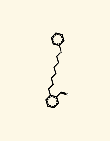 O=Cc1ccccc1CCCCCCCSc1ccccc1